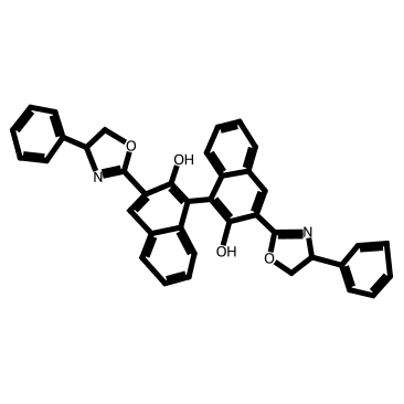 Oc1c(C2=NC(c3ccccc3)CO2)cc2ccccc2c1-c1c(O)c(C2=NC(c3ccccc3)CO2)cc2ccccc12